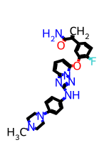 C=C(C(N)=O)c1ccc(F)c(Oc2cccc3nc(Nc4ccc(N5CCN(C)CC5)cc4)nn23)c1